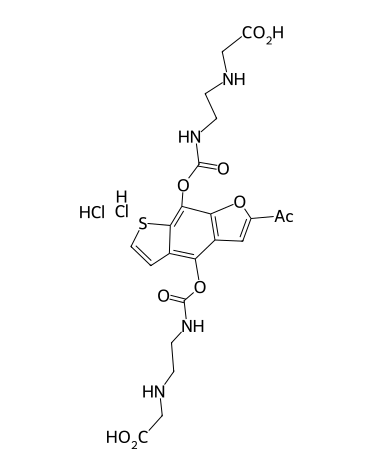 CC(=O)c1cc2c(OC(=O)NCCNCC(=O)O)c3ccsc3c(OC(=O)NCCNCC(=O)O)c2o1.Cl.Cl